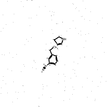 C1=CNCC1.CCc1cccc([N+]#N)c1